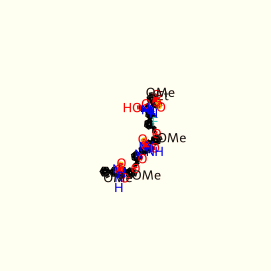 CCOc1cc(C(CS(C)(=O)=O)n2c(=O)n(CCO)c3cc(-c4cccc(CCOc5cc(C(CS(C)(=O)=O)n6c(=O)[nH]c7cc(-n8cccc(CCOc9cc(C(CS(C)(=O)=O)n%10c(=O)[nH]c%11cc(-c%12ccccc%12OC)cnc%11%10)ccc9OC)c8=O)cnc76)ccc5OC)c4F)cnc32)ccc1OC